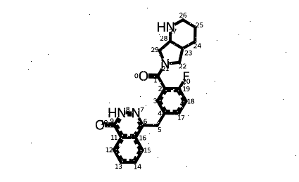 O=C(c1cc(Cc2n[nH]c(=O)c3ccccc23)ccc1F)N1CC2CCCNC2C1